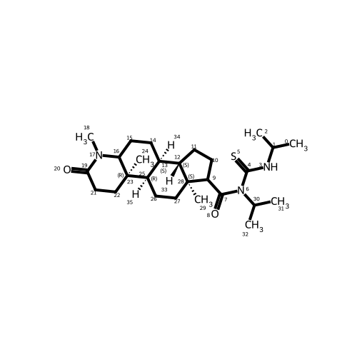 CC(C)NC(=S)N(C(=O)C1CC[C@H]2[C@@H]3CCC4N(C)C(=O)CC[C@]4(C)[C@@H]3CC[C@]12C)C(C)C